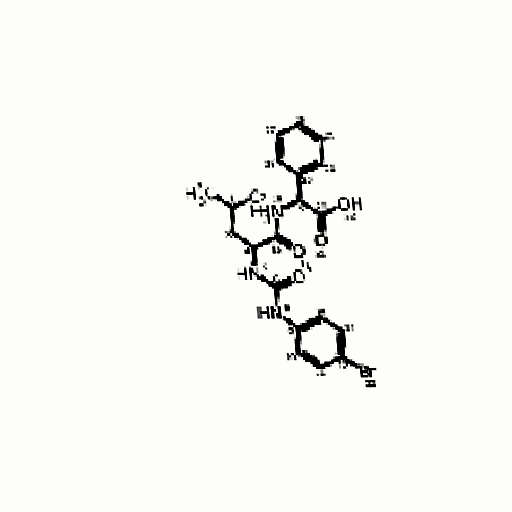 CC(C)CC(NC(=O)Nc1ccc(Br)cc1)C(=O)NC(C(=O)O)c1ccccc1